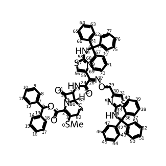 CSC1=C(C(=O)OC(c2ccccc2)c2ccccc2)N2C(=O)C(NC(=O)/C(=N\OCc3csc(NC(c4ccccc4)(c4ccccc4)c4ccccc4)n3)c3csc(NC(c4ccccc4)(c4ccccc4)c4ccccc4)n3)[C@@H]2SC1